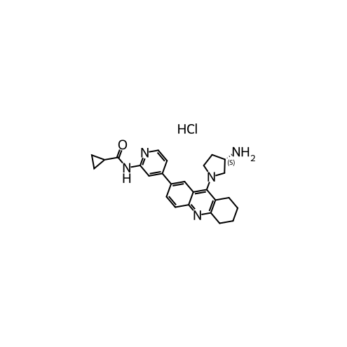 Cl.N[C@H]1CCN(c2c3c(nc4ccc(-c5ccnc(NC(=O)C6CC6)c5)cc24)CCCC3)C1